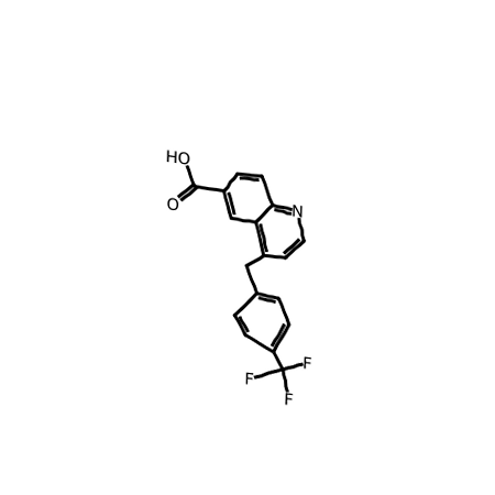 O=C(O)c1ccc2nccc(Cc3ccc(C(F)(F)F)cc3)c2c1